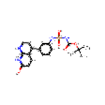 CC(C)(C)OC(=O)NS(=O)(=O)Nc1cccc(-c2ccnc3[nH]c(=O)ccc23)c1